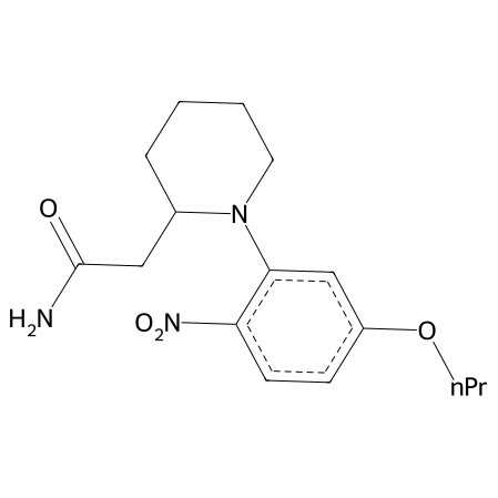 CCCOc1ccc([N+](=O)[O-])c(N2CCCCC2CC(N)=O)c1